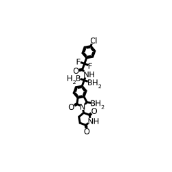 BC1c2cc(C(B)(B)NC(=O)C(F)(F)c3ccc(Cl)cc3)ccc2C(=O)N1C1CCC(=O)NC1=O